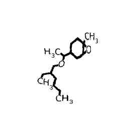 CCCCC(CC)COC(C)C1CCC2(C)OC2C1